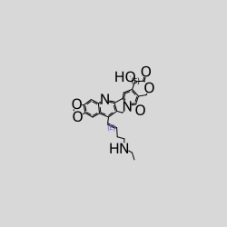 CCNCC/C=C/c1c2c(nc3cc4c(cc13)OCO4)-c1cc3c(c(=O)n1C2)COC(=O)[C@H]3O